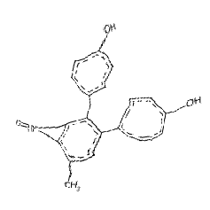 Cc1cc(-c2ccc(O)cc2)c(-c2ccc(O)cc2)c2c1[PH]2=O